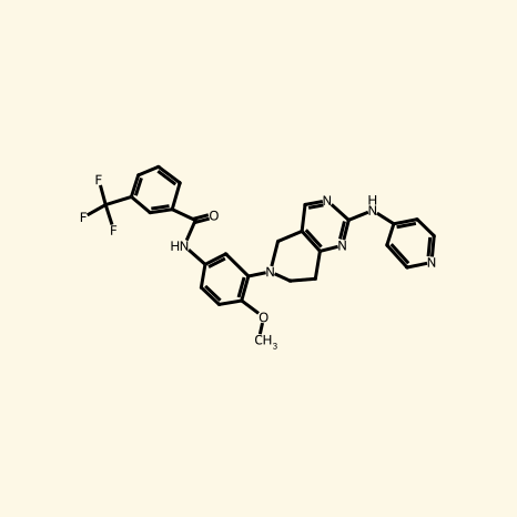 COc1ccc(NC(=O)c2cccc(C(F)(F)F)c2)cc1N1CCc2nc(Nc3ccncc3)ncc2C1